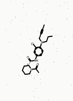 CC#CCN(CCC)c1ccc(NC(=O)[C@H]2CCCCN2C(C)=O)cc1Cl